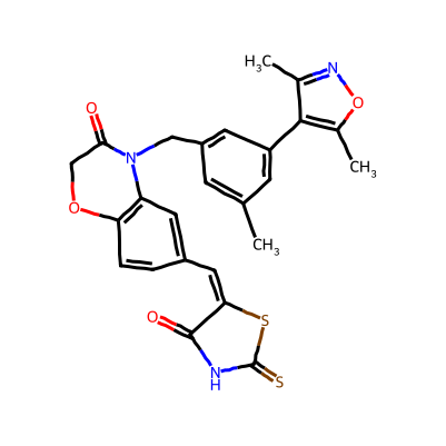 Cc1cc(CN2C(=O)COc3ccc(C=C4SC(=S)NC4=O)cc32)cc(-c2c(C)noc2C)c1